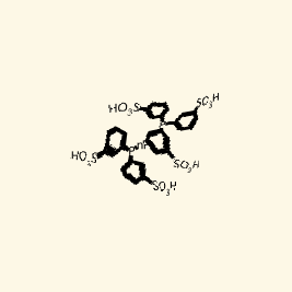 CCCP(c1cccc(S(=O)(=O)O)c1)c1cccc(S(=O)(=O)O)c1.O=S(=O)(O)c1cccc(P(c2cccc(S(=O)(=O)O)c2)c2cccc(S(=O)(=O)O)c2)c1